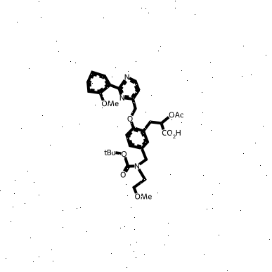 COCCN(Cc1ccc(OCc2ccnc(-c3ccccc3OC)n2)c(CC(OC(C)=O)C(=O)O)c1)C(=O)OC(C)(C)C